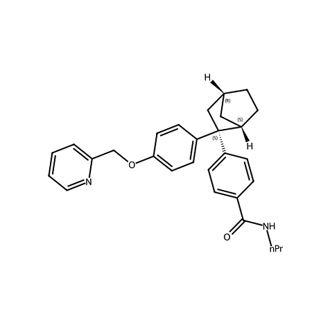 CCCNC(=O)c1ccc([C@]2(c3ccc(OCc4ccccn4)cc3)C[C@@H]3CC[C@H]2C3)cc1